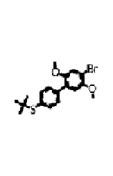 COc1cc(-c2ccc(SC(C)(C)C)cc2)c(OC)cc1Br